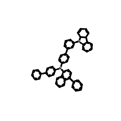 C1=CC2c3ccccc3N(c3cccc(-c4ccc(N(c5ccc(-c6ccccc6)cc5)c5ccc(-c6ccccc6)c6ccccc56)cc4)c3)C2C=C1